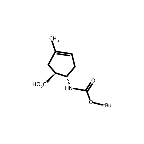 CC1=CC[C@H](NC(=O)OC(C)(C)C)[C@@H](C(=O)O)C1